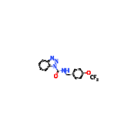 O=C(NCc1ccc(OC(F)(F)F)cc1)n1nnc2ccccc21